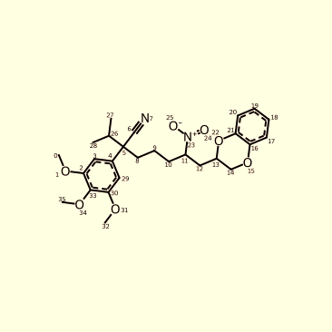 COc1cc(C(C#N)(CCCC(CC2COc3ccccc3O2)[N+](=O)[O-])C(C)C)cc(OC)c1OC